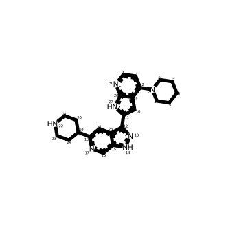 c1cc(N2CCCCC2)c2cc(-c3n[nH]c4cnc(C5CCNCC5)cc34)[nH]c2n1